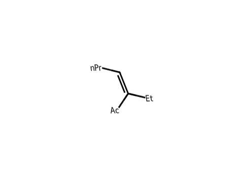 CCCC=C(CC)C(C)=O